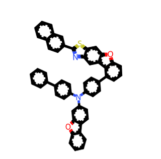 c1ccc(-c2ccc(N(c3ccc(-c4cccc5oc6cc7sc(-c8ccc9ccccc9c8)nc7cc6c45)cc3)c3ccc4c(c3)oc3ccccc34)cc2)cc1